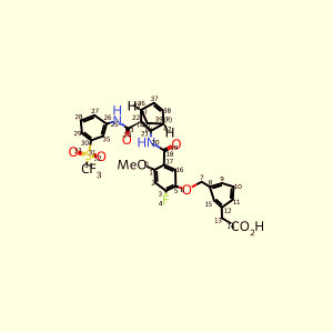 COc1cc(F)c(OCc2cccc(CC(=O)O)c2)cc1C(=O)N[C@H]1[C@@H](C(=O)Nc2cccc(S(=O)(=O)C(F)(F)F)c2)[C@@H]2C=C[C@H]1C2